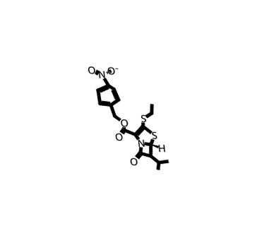 CCSC1=C(C(=O)OCc2ccc([N+](=O)[O-])cc2)N2C(=O)C(C(C)C)[C@H]2S1